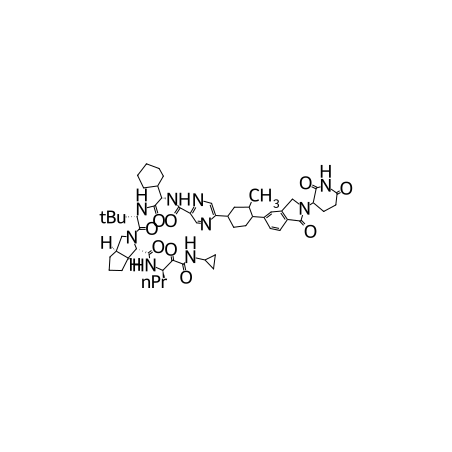 CCC[C@@H](NC(=O)[C@@H]1[C@H]2CCC[C@H]2CN1C(=O)[C@@H](NC(=O)[C@@H](NC(=O)c1cnc(C2CCC(c3ccc4c(c3)CN(C3CCC(=O)NC3=O)C4=O)C(C)C2)cn1)C1CCCCC1)C(C)(C)C)C(=O)C(=O)NC1CC1